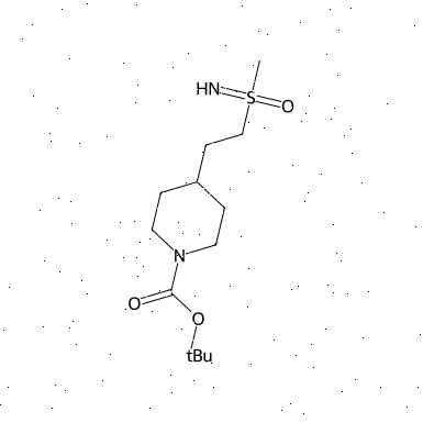 CC(C)(C)OC(=O)N1CCC(CCS(C)(=N)=O)CC1